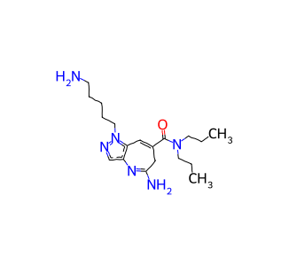 CCCN(CCC)C(=O)C1=Cc2c(cnn2CCCCCN)N=C(N)C1